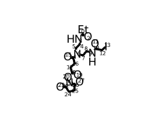 CCC(=O)NCCN(CCNC(=O)CI)C(=O)CCC(=O)ON1C(=O)CCC1=O